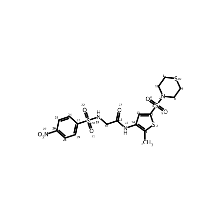 Cc1sc(S(=O)(=O)N2CCSCC2)cc1NC(=O)CNS(=O)(=O)c1ccc([N+](=O)[O-])cc1